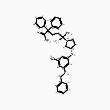 CC(C)(CCC(C(N)=O)(c1ccccc1)c1ccccc1)N1CC[C@H](Oc2cc(C#N)cc(OCc3ccccc3)c2)C1